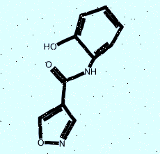 O=C(Nc1ccccc1O)c1cnoc1